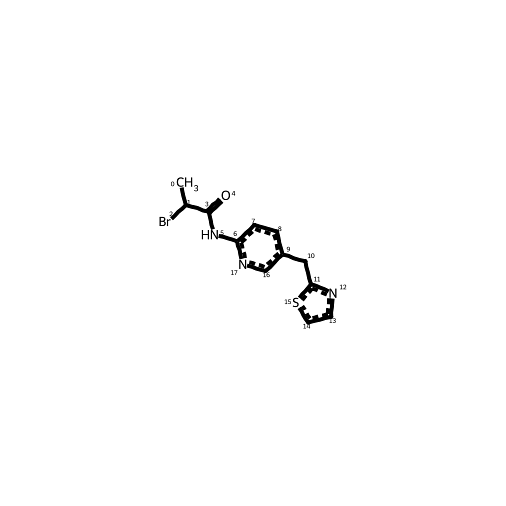 CC(Br)C(=O)Nc1ccc(Cc2nccs2)cn1